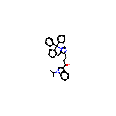 Cc1c(CCC(=O)c2cn(C(C)C)c3ccccc23)ncn1C(c1ccccc1)(c1ccccc1)c1ccccc1